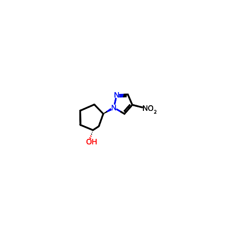 O=[N+]([O-])c1cnn([C@@H]2CCC[C@@H](O)C2)c1